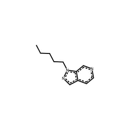 CCCCCn1ncc2ccncc21